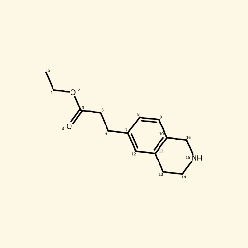 CCOC(=O)CCc1ccc2c(c1)CCNC2